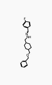 Fc1ccc(C=NNCC2CCC(COCc3ccccc3)CC2)cc1